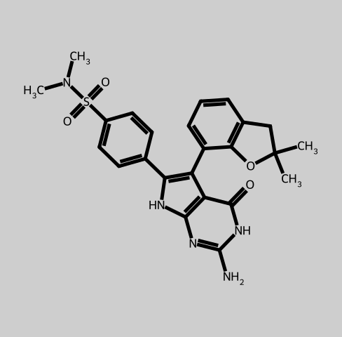 CN(C)S(=O)(=O)c1ccc(-c2[nH]c3nc(N)[nH]c(=O)c3c2-c2cccc3c2OC(C)(C)C3)cc1